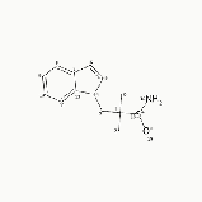 CC(C)(CC1C=Cc2ccccc21)[S+](N)[O-]